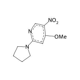 COc1cc(N2CCCC2)ncc1[N+](=O)[O-]